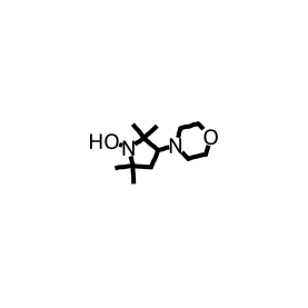 CC1(C)CC(N2CCOCC2)C(C)(C)N1O